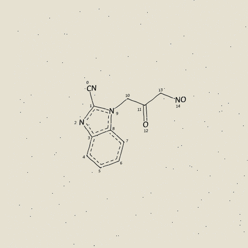 N#Cc1nc2ccccc2n1CC(=O)CN=O